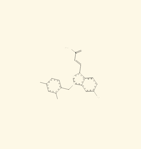 COC(=O)/C=C/c1nn(Cc2ccc(F)cc2Cl)c2cc([N+](=O)[O-])ccc12